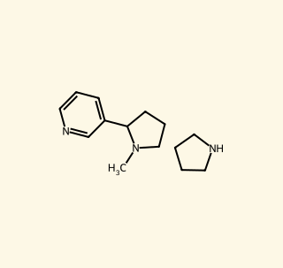 C1CCNC1.CN1CCCC1c1cccnc1